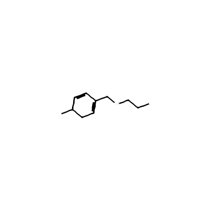 CCCNCC1=CCC(C)C=C1